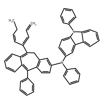 C=C/C=C(\C=C/CC)C1=c2ccccc2=C(c2ccccc2)c2ccc(N(c3ccccc3)c3ccc4c(c3)c3ccccc3n4-c3ccccc3)cc2C1